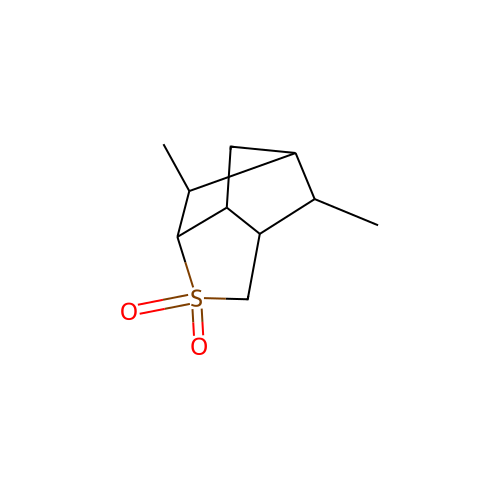 CC1C2CC3C1CS(=O)(=O)C3C2C